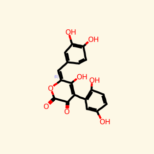 O=C1O/C(=C/c2ccc(O)c(O)c2)C(O)=C(c2cc(O)ccc2O)C1=O